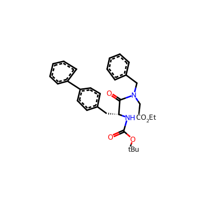 CCOC(=O)CN(Cc1ccccc1)C(=O)[C@@H](Cc1ccc(-c2ccccc2)cc1)NC(=O)OC(C)(C)C